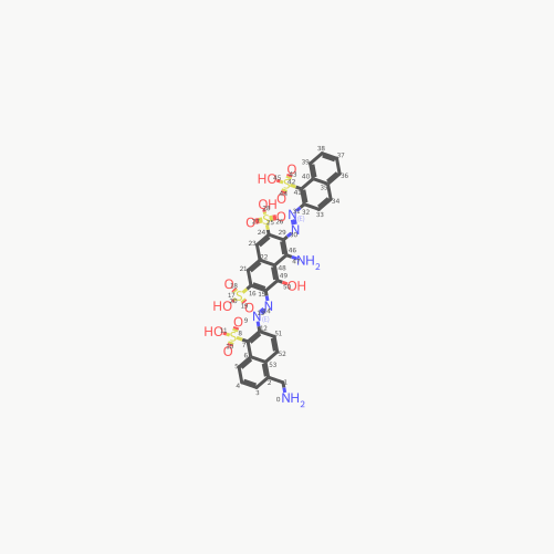 NCc1cccc2c(S(=O)(=O)O)c(/N=N/c3c(S(=O)(=O)O)cc4cc(S(=O)(=O)O)c(/N=N/c5ccc6ccccc6c5S(=O)(=O)O)c(N)c4c3O)ccc12